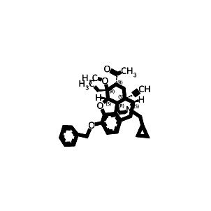 C#C[C@@]12C[C@@H](C(C)=O)[C@@](CC)(OC)[C@H]3Oc4c(OCc5ccccc5)ccc5c4[C@]31CCN(CC1CC1)[C@H]2C5